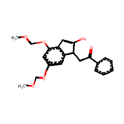 COCOc1cc(OCOC)c2c(c1)C(CC(=O)c1ccccc1)C(O)=C2